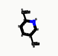 COc1c[c]c(OC)nc1